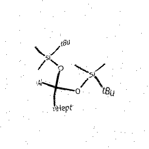 CCCCCCC[C]([Al])(O[Si](C)(C)C(C)(C)C)O[Si](C)(C)C(C)(C)C